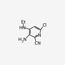 CCNc1cc(Cl)nc(C#N)c1N